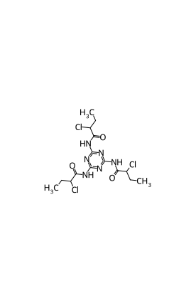 CCC(Cl)C(=O)Nc1nc(NC(=O)C(Cl)CC)nc(NC(=O)C(Cl)CC)n1